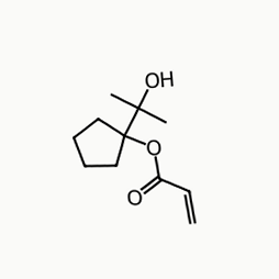 C=CC(=O)OC1(C(C)(C)O)CCCC1